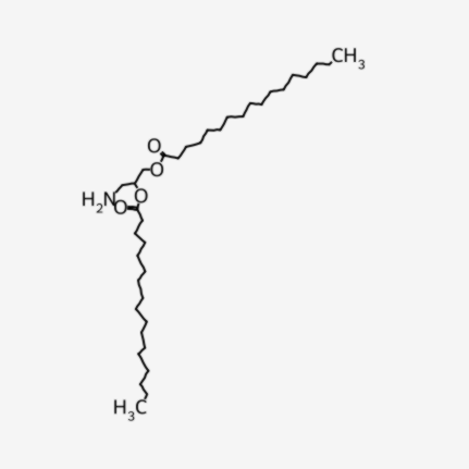 CCCCCCCCCCCCCCCCC(=O)OCC(CN)OC(=O)CCCCCCCCCCCCCCCC